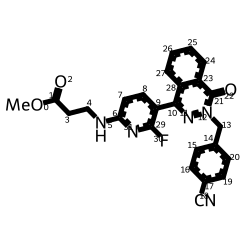 COC(=O)CCNc1ccc(-c2nn(Cc3ccc(C#N)cc3)c(=O)c3ccccc23)c(F)n1